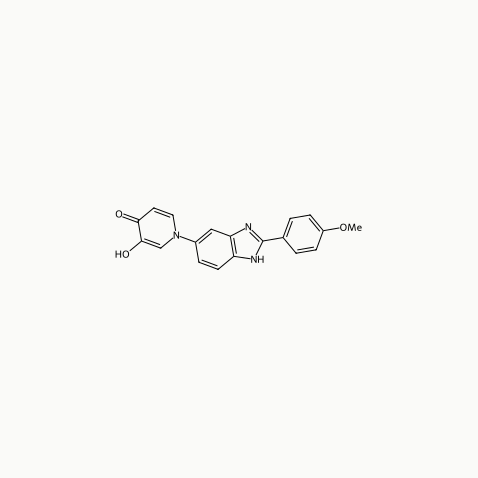 COc1ccc(-c2nc3cc(-n4ccc(=O)c(O)c4)ccc3[nH]2)cc1